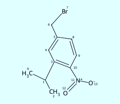 CC(C)c1cc(CBr)ccc1[N+](=O)[O-]